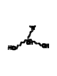 CN(C)CCCCC(O)(CCCCCCO)CCCCCCO